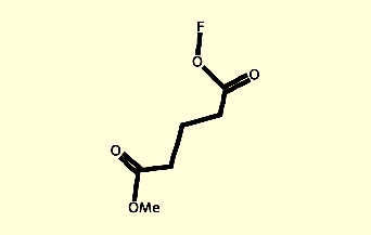 COC(=O)CCCC(=O)OF